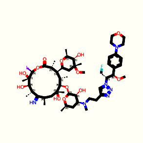 CO[C@H](c1ccc(N2CCOCC2)cc1)[C@@H](CF)n1cc(CCN(C)[C@H]2C[C@@H](C)O[C@@H](O[C@@H]3[C@@H](C)[C@H](C4C[C@@](C)(OC)[C@@H](O)[C@H](C)O4)[C@@H](C)C(=O)O[C@H](I)[C@@](C)(O)[C@H](O)[C@@H](C)C(=N)[C@H](C)C[C@@]3(C)O)[C@@H]2O)nn1